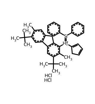 Cc1cc2c(cc1C(C)(C)C)-c1cc(C(C)(C)C)c(C)[c]([Hf]([C]3=CC=CC3)=[Si](c3ccccc3)c3ccccc3)c1C2.Cl.Cl